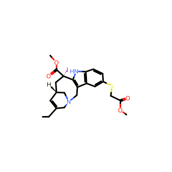 CCC1=C[C@H]2CN(C1)Cc1c([nH]c3ccc(SCC(=O)OC)cc13)[C@](I)(C(=O)OC)C2